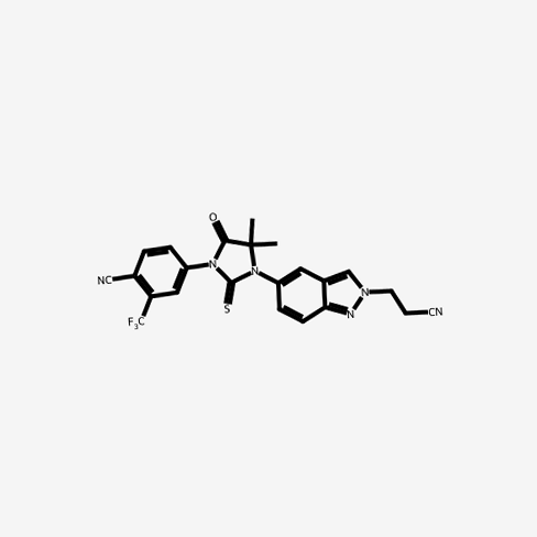 CC1(C)C(=O)N(c2ccc(C#N)c(C(F)(F)F)c2)C(=S)N1c1ccc2nn(CCC#N)cc2c1